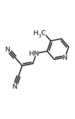 Cc1ccncc1NC=C(C#N)C#N